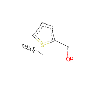 CCOC(C)=O.OCc1cccs1